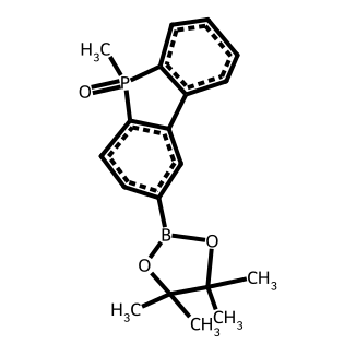 CC1(C)OB(c2ccc3c(c2)-c2ccccc2P3(C)=O)OC1(C)C